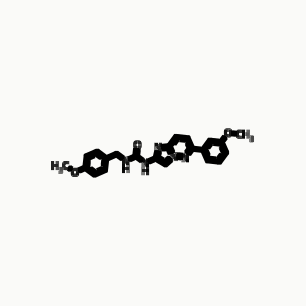 COc1ccc(CNC(=O)Nc2cn3nc(-c4cccc(OC)c4)ccc3n2)cc1